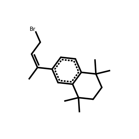 C/C(=C/CBr)c1ccc2c(c1)C(C)(C)CCC2(C)C